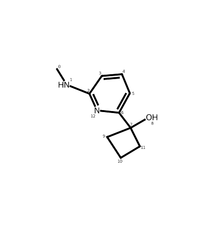 CNc1cccc(C2(O)CCC2)n1